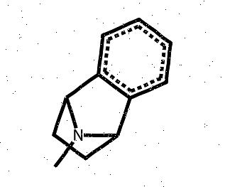 CN1C2CCC1c1ccccc12